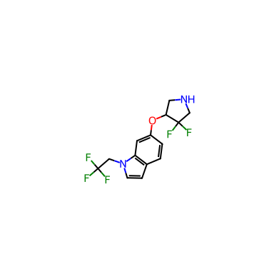 FC(F)(F)Cn1ccc2ccc(OC3CNCC3(F)F)cc21